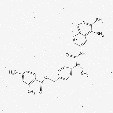 Bc1ncc2ccc(NC(=O)[C@H](CN)c3ccc(COC(=O)c4ccc(C)cc4C)cc3)cc2c1B